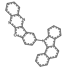 c1ccc2c(c1)ccc1c3ccccc3n(-c3ccc4oc5nc6ccccc6nc5c4c3)c21